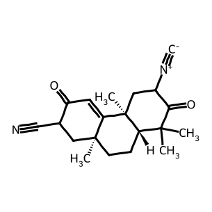 [C-]#[N+]C1C[C@]2(C)C3=CC(=O)C(C#N)C[C@]3(C)CC[C@H]2C(C)(C)C1=O